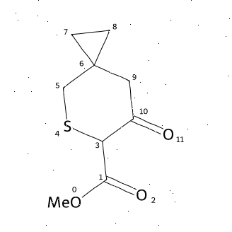 COC(=O)C1SCC2(CC2)CC1=O